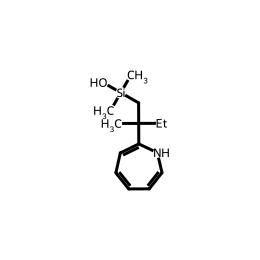 CCC(C)(C[Si](C)(C)O)C1=CC=CC=CN1